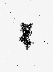 CCOC(=O)[C@@H]1C[C@@H](C)CN1C(=O)[C@H](C)NC(=O)[C@@H]1CCCCN1C(=O)[C@@H]1CCCN1C(=O)[C@H](C)NC(=O)[C@H](Cc1cc(F)cc(F)c1)NC(=O)Nc1ccc(C(F)(F)F)cc1